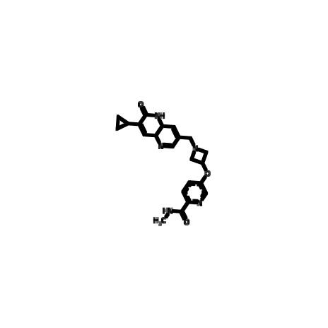 CNC(=O)c1ccc(OC2CN(CC3=CC4NC(=O)C(C5CC5)=CC4N=C3)C2)cn1